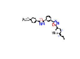 C=C/C=C(\C=C/C(=C)c1nnc(-c2cccc(-c3nnc(-c4ccc(OC(C)=O)cc4)o3)c2)o1)C(C)(C)C